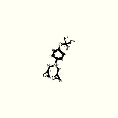 FC(F)(F)Oc1ccc(N(CC2CO2)CC2CO2)cc1